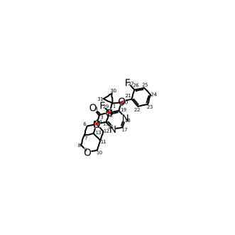 CC1(OC(=O)N2CC3COCC(C2)C3Oc2ncnc(Oc3ccccc3F)c2F)CC1